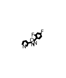 Fc1ccc(-c2nnc(-c3cccnc3)o2)c(F)c1